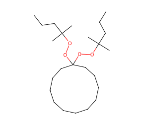 CCCC(C)(C)OOC1(OOC(C)(C)CCC)CCCCCCCCCCC1